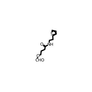 O=COCCCC(=O)NCCc1cccs1